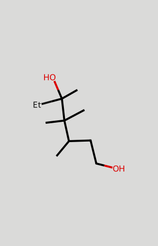 CCC(C)(O)C(C)(C)C(C)CCO